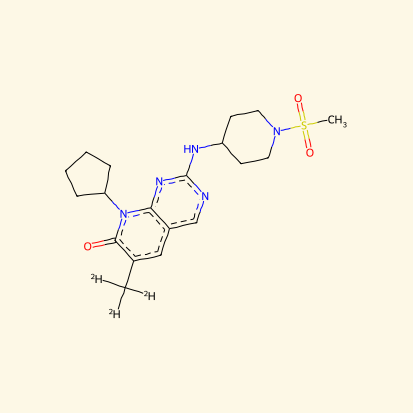 [2H]C([2H])([2H])c1cc2cnc(NC3CCN(S(C)(=O)=O)CC3)nc2n(C2CCCC2)c1=O